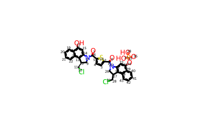 O=C(c1ccc(C(=O)N2C[C@@H](CCl)c3c2cc(O)c2ccccc32)s1)N1CC(CCl)c2c1cc(OP(=O)(O)O)c1ccccc21